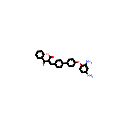 Nc1ccc(Oc2ccc(-c3ccc(C=C(C(=O)O)C(=O)c4ccccc4)cc3)cc2)c(N)c1